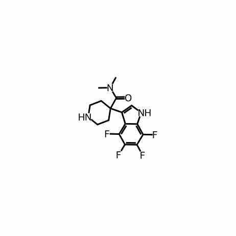 CN(C)C(=O)C1(c2c[nH]c3c(F)c(F)c(F)c(F)c23)CCNCC1